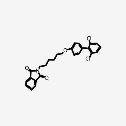 O=C1c2ccccc2C(=O)N1CCCCCCOc1ccc(-c2c(Cl)cccc2Cl)cc1